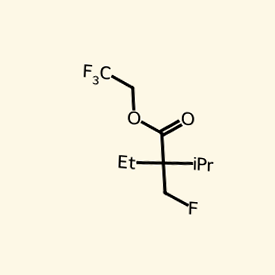 CCC(CF)(C(=O)OCC(F)(F)F)C(C)C